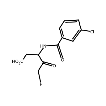 O=C(O)CC(NC(=O)c1cccc(Cl)c1)C(=O)CF